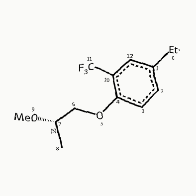 C[CH]c1ccc(OC[C@H](C)OC)c(C(F)(F)F)c1